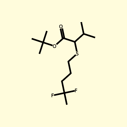 CC(C)C(SCCCC(C)(F)F)C(=O)OC(C)(C)C